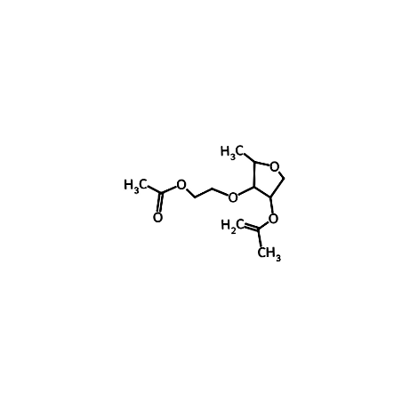 C=C(C)OC1COC(C)C1OCCOC(C)=O